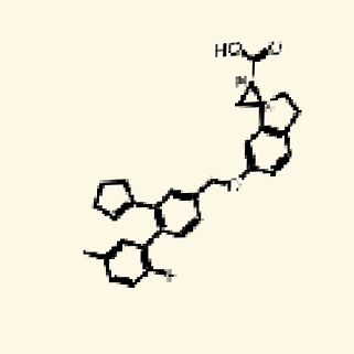 Cc1ccc(F)c(-c2ccc(COc3ccc4c(c3)[C@]3(CC4)C[C@H]3C(=O)O)cc2C2=CCCC2)c1